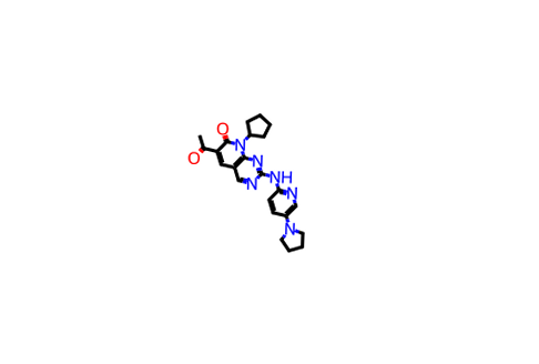 CC(=O)c1cc2cnc(Nc3ccc(N4CCCC4)cn3)nc2n(C2CCCC2)c1=O